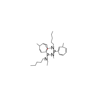 CCCCCN(CC)P(C1=CC=CC(C)C=C1)N(C)P(C1=CC(C)C=CC=C1)N(CC)CCCCC